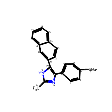 CSc1ccc(-c2nc(C(F)(F)F)[nH]c2-c2ccc3ccccc3c2)cc1